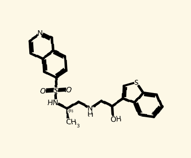 C[C@H](CNCC(O)c1csc2ccccc12)NS(=O)(=O)c1ccc2cnccc2c1